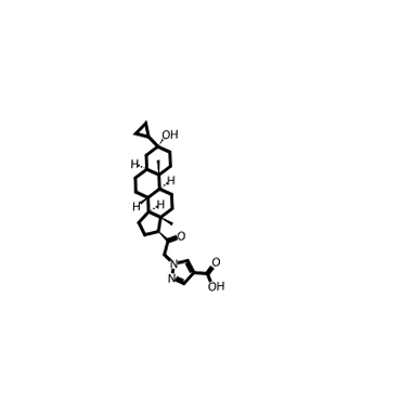 C[C@]12CC[C@](O)(C3CC3)C[C@@H]1CC[C@@H]1[C@@H]2CC[C@]2(C)[C@@H](C(=O)Cn3cc(C(=O)O)cn3)CC[C@@H]12